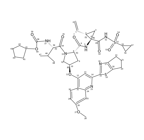 C=C[C@@H]1C[C@]1(NC(=O)[C@@H]1C[C@@H](Oc2cc(-c3nc4c(s3)CCC4)nc3cc(OC)ccc23)CN1C(=O)[C@@H](NC(=O)OC1CCCC1)C(C)C)C(=O)NS(=O)(=O)C1CC1